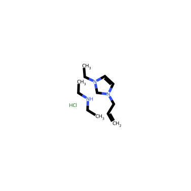 C=CCN1C=CN(CC)C1.CCNCC.Cl